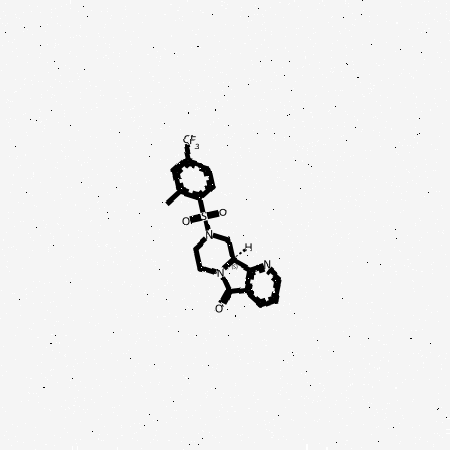 Cc1cc(C(F)(F)F)ccc1S(=O)(=O)N1CCN2C(=O)c3cccnc3[C@@H]2C1